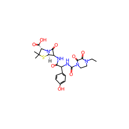 CCN1CCN(C(=O)NC(C(=O)NC2C(=O)N3[C@@H]2SC(C)(C)[C@@H]3C(=O)O)c2ccc(O)cc2)C(=O)C1=O